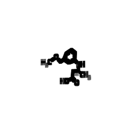 COCc1cccc(N[C@H](C)CC(=O)O)c1